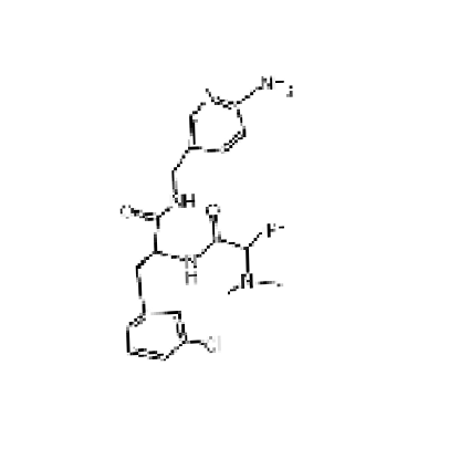 CC(C)C(C(=O)N[C@@H](Cc1cccc(Cl)c1)C(=O)NCc1ccc(N)nc1)N(C)C